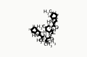 Cc1ccc2cc(C(=O)N3C[C@H](C)CC4[C@H]3CN4C(=O)[C@@H](NC(=O)c3cc4ccccc4[nH]3)C(C)(C)C)[nH]c2c1